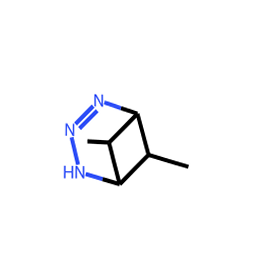 CC1C2N=NNC1C2C